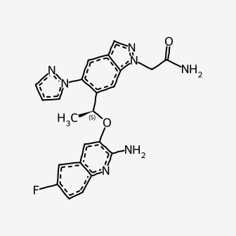 C[C@H](Oc1cc2cc(F)ccc2nc1N)c1cc2c(cnn2CC(N)=O)cc1-n1cccn1